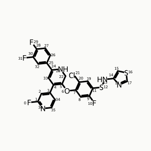 Fc1cc(C2=C(Oc3cc(F)c(SNc4cscn4)cc3Cl)CNC(c3ccc(F)c(F)c3)=C2)ccn1